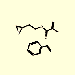 C=C(C)C(=O)OCCC1CO1.C=Cc1ccccc1